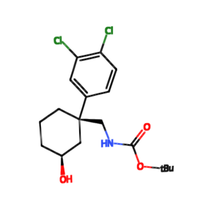 CC(C)(C)OC(=O)NC[C@]1(c2ccc(Cl)c(Cl)c2)CCC[C@H](O)C1